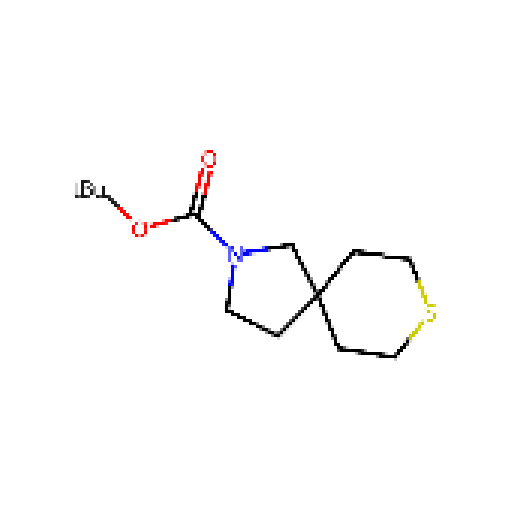 CC(C)(C)OC(=O)N1CCC2(CCSCC2)C1